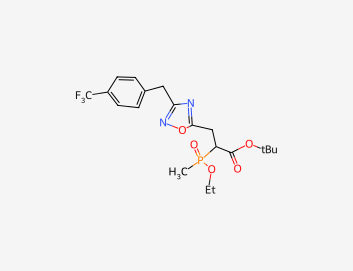 CCOP(C)(=O)C(Cc1nc(Cc2ccc(C(F)(F)F)cc2)no1)C(=O)OC(C)(C)C